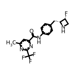 Cc1cc(C(=O)Nc2ccc(C[C@H]3NC[C@H]3F)cc2)nc(C(F)(F)F)n1